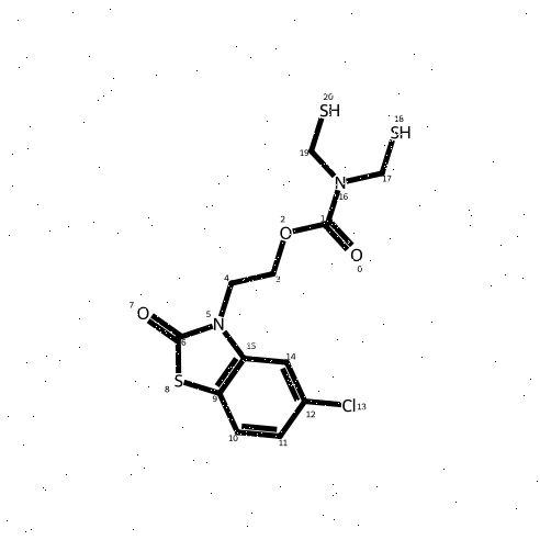 O=C(OCCn1c(=O)sc2ccc(Cl)cc21)N(CS)CS